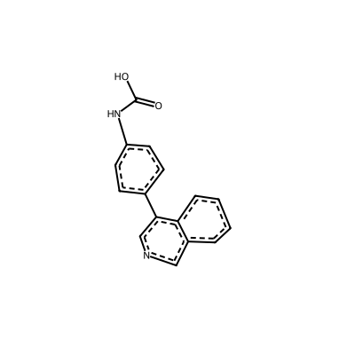 O=C(O)Nc1ccc(-c2cncc3ccccc23)cc1